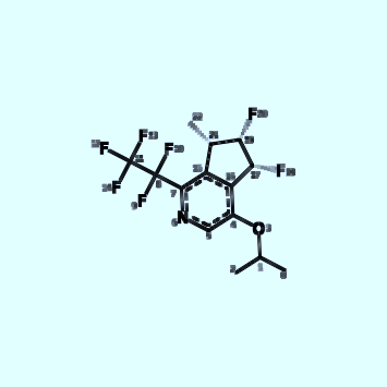 CC(C)Oc1cnc(C(F)(F)C(F)(F)F)c2c1[C@@H](F)[C@@H](F)[C@H]2C